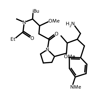 CCC(=O)N(C)C(C(C)CC)C(CC(=O)N1CCCC1C(OC)C(C)C(CN)Cc1ccc(NC)cc1)OC